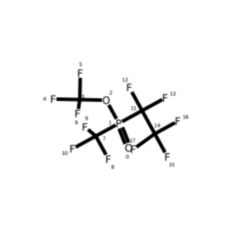 O=P(OC(F)(F)F)(C(F)(F)F)C(F)(F)C(F)(F)F